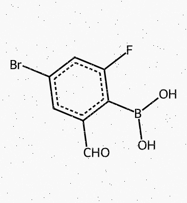 O=Cc1cc(Br)cc(F)c1B(O)O